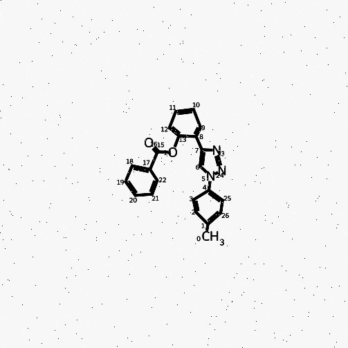 Cc1ccc(-n2cc(-c3ccccc3OC(=O)c3ccccc3)nn2)cc1